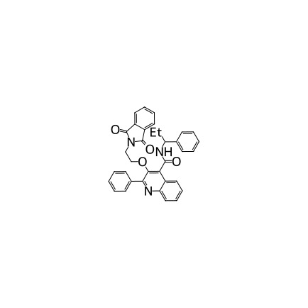 CCC(NC(=O)c1c(OCCN2C(=O)c3ccccc3C2=O)c(-c2ccccc2)nc2ccccc12)c1ccccc1